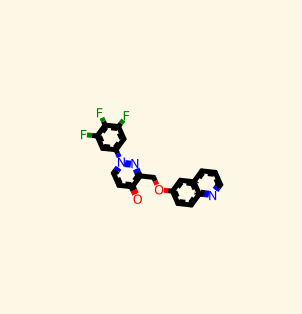 O=c1ccn(-c2cc(F)c(F)c(F)c2)nc1COc1ccc2ncccc2c1